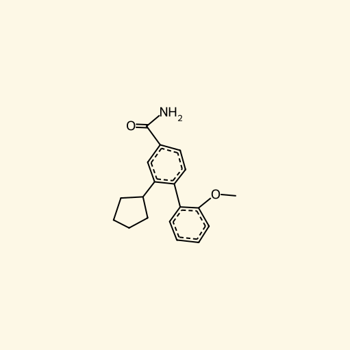 COc1ccccc1-c1ccc(C(N)=O)cc1C1CCCC1